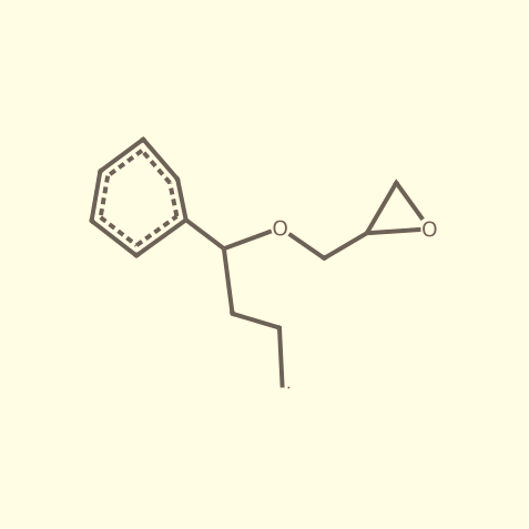 [CH2]CCC(OCC1CO1)c1ccccc1